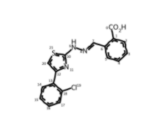 O=C(O)c1ccccc1C=NNc1nc(-c2ccccc2Cl)cs1